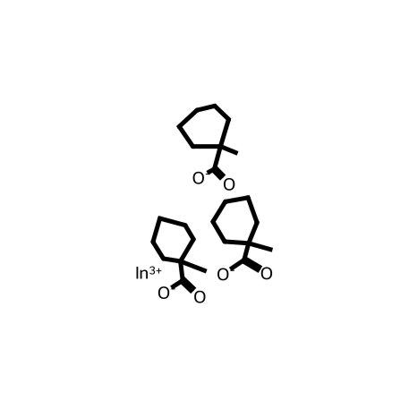 CC1(C(=O)[O-])CCCCC1.CC1(C(=O)[O-])CCCCC1.CC1(C(=O)[O-])CCCCC1.[In+3]